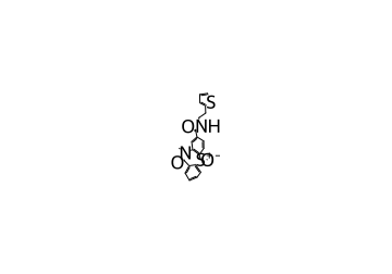 CN1C(=O)c2ccccc2[S@@+]([O-])c2ccc(C(=O)NCCc3cccs3)cc21